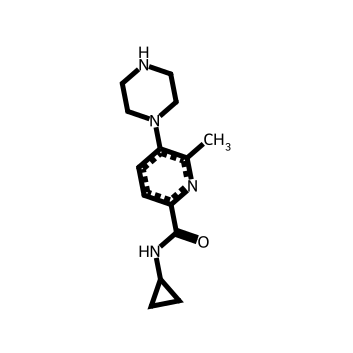 Cc1nc(C(=O)NC2CC2)ccc1N1CCNCC1